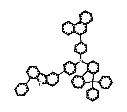 c1ccc(-c2cccc3c2oc2ccc(-c4ccc(N(c5ccc(-c6cc7ccccc7c7ccccc67)cc5)c5cccc6c5-c5ccccc5C6(c5ccccc5)c5ccccc5)cc4)cc23)cc1